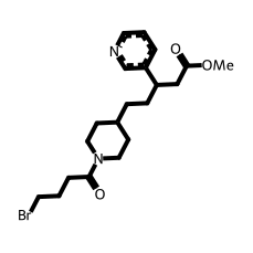 COC(=O)CC(CCC1CCN(C(=O)CCCBr)CC1)c1cccnc1